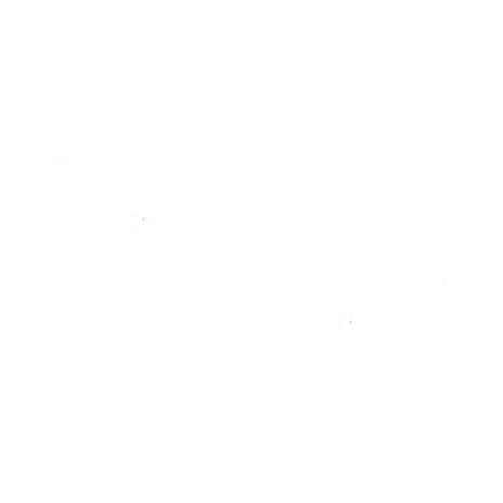 [CH2]CC(CCCOc1ccccc1OC)COc1ccccc1OC